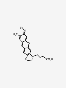 CC/N=c1/cc2oc3cc4c(cc3nc-2cc1C)OCCN4CCCC(=O)O